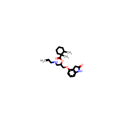 C=CCNCC(COc1cccc2c1CC(=O)N2)OC(=O)C1(C)CCCCC1C